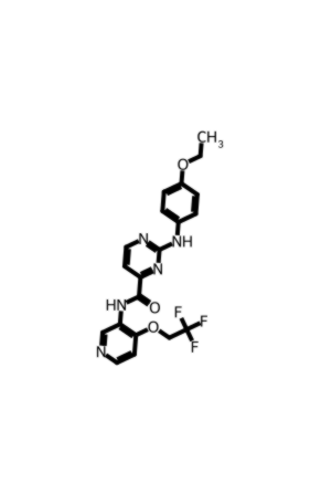 CCOc1ccc(Nc2nccc(C(=O)Nc3cnccc3OCC(F)(F)F)n2)cc1